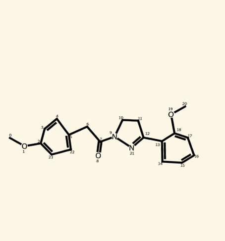 COc1ccc(CC(=O)N2CCC(c3ccccc3OC)=N2)cc1